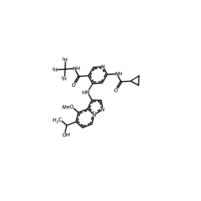 [2H]C([2H])([2H])NC(=O)c1cnc(NC(=O)C2CC2)cc1Nc1cnn2ccc(C(C)O)c(OC)c12